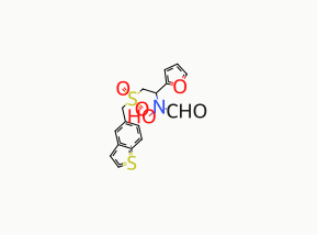 O=CN(O)C(CS(=O)(=O)Cc1ccc2sccc2c1)c1ccco1